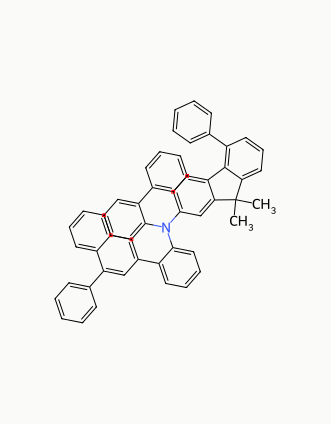 CC1(C)c2cc(N(c3ccccc3-c3ccccc3)c3ccccc3-c3cc(-c4ccccc4)c4ccccc4c3)ccc2-c2c(-c3ccccc3)cccc21